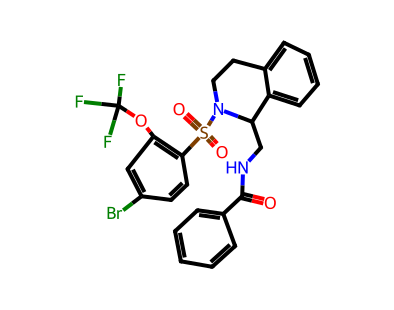 O=C(NCC1c2ccccc2CCN1S(=O)(=O)c1ccc(Br)cc1OC(F)(F)F)c1ccccc1